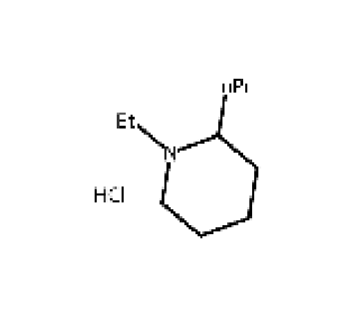 CCCC1CCCCN1CC.Cl